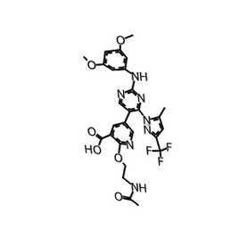 COc1cc(Nc2ncc(-c3cnc(OCCNC(C)=O)c(C(=O)O)c3)c(-n3nc(C(F)(F)F)cc3C)n2)cc(OC)c1